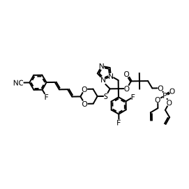 C=CCOP(=O)(OCC=C)OCCC(C)(C)C(=O)OC(Cn1cncn1)(c1ccc(F)cc1F)C(C)SC1COC(C=CC=Cc2ccc(C#N)cc2F)OC1